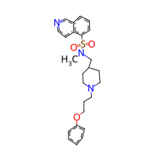 CN(CC1CCN(CCCOc2ccccc2)CC1)S(=O)(=O)c1cccc2cnccc12